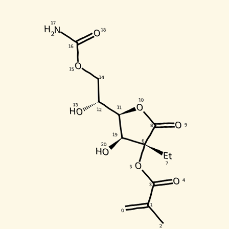 C=C(C)C(=O)O[C@@]1(CC)C(=O)O[C@H]([C@H](O)COC(N)=O)[C@@H]1O